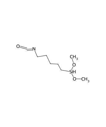 CO[SiH](CCCCCN=C=O)OC